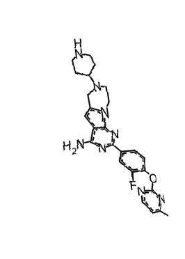 Cc1ccnc(Oc2ccc(-c3nc(N)c4cc5n(c4n3)CCN(C3CCNCC3)C5)cc2F)n1